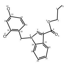 CCCOC(=O)c1nn(Cc2ccc(Cl)cc2Cl)c2ccccc12